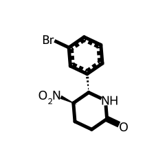 O=C1CC[C@@H]([N+](=O)[O-])[C@H](c2cccc(Br)c2)N1